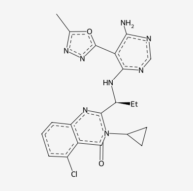 CC[C@H](Nc1ncnc(N)c1-c1nnc(C)o1)c1nc2cccc(Cl)c2c(=O)n1C1CC1